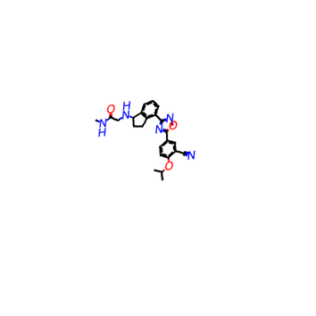 CNC(=O)CN[C@@H]1CCc2c(-c3noc(-c4ccc(OC(C)C)c(C#N)c4)n3)cccc21